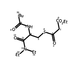 CCOC(=O)CC(=O)SCC(NC(=O)C(C)CC)C(=O)N(CC)CC